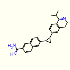 CC(C)C1=NCCc2cc(C3CC3c3ccc4cc(C(=N)N)ccc4c3)ccc21